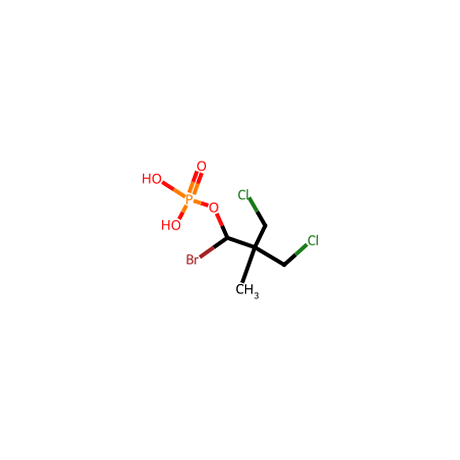 CC(CCl)(CCl)C(Br)OP(=O)(O)O